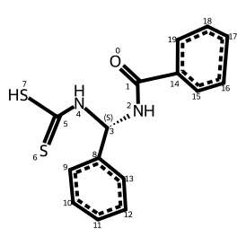 O=C(N[C@@H](NC(=S)S)c1ccccc1)c1ccccc1